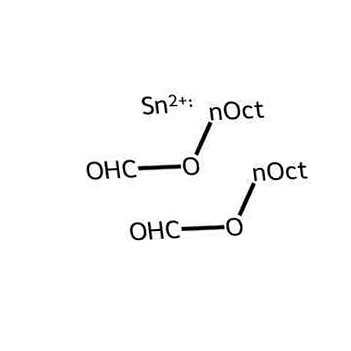 CCCCCCCCO[C-]=O.CCCCCCCCO[C-]=O.[Sn+2]